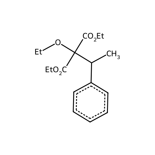 CCOC(=O)C(OCC)(C(=O)OCC)C(C)c1ccccc1